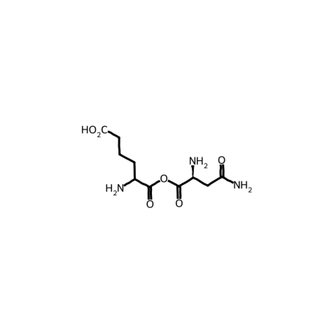 NC(=O)C[C@H](N)C(=O)OC(=O)C(N)CCCC(=O)O